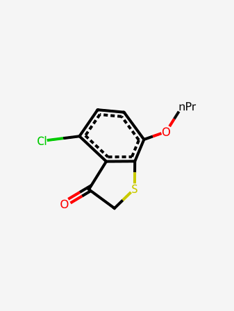 CCCOc1ccc(Cl)c2c1SCC2=O